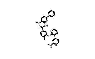 CNc1cc(-c2cccnc2Oc2cc(C(=O)Nc3cc(-c4ccccc4)ccc3OC)ccc2C)ccn1